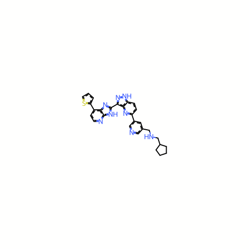 c1csc(-c2ccnc3[nH]c(-c4n[nH]c5ccc(-c6cncc(CNCC7CCCC7)c6)nc45)nc23)c1